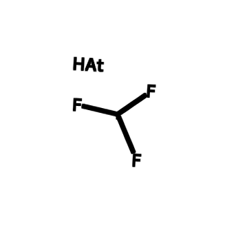 F[C](F)F.[AtH]